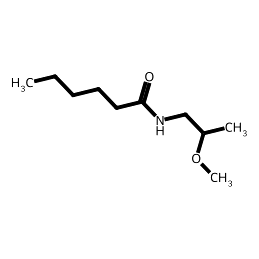 CCCCCC(=O)NCC(C)OC